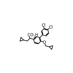 O=C(O)C(CC1CC1)c1ccc(OCC2CC2)c(-c2ccc(Cl)c(Cl)c2)c1